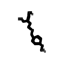 C=C=C(CO)CCOCc1ccc(OC)cc1